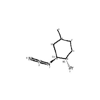 CC1CC[C@H](C(C)C)[C@@H](N=[N+]=[N-])C1